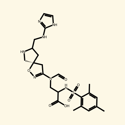 Cc1cc(C)c(S(=O)(=O)NC(CN(C=O)C2=NO[C@]3(CNC(CNc4ncc[nH]4)C3)C2)C(=O)O)c(C)c1